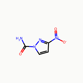 NC(=O)n1ccc([N+](=O)[O-])n1